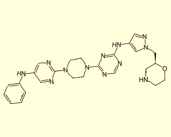 c1ccc(Nc2cnc(N3CCN(c4ncnc(Nc5cnn(C[C@@H]6CNCCO6)c5)n4)CC3)nc2)cc1